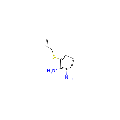 C=CCSc1cccc(N)c1N